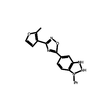 Cc1occc1-c1noc(-c2ccc3c(c2)NNN3C(C)C)n1